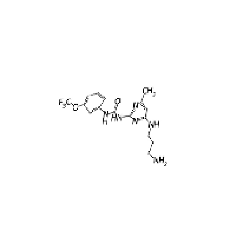 Cc1cc(NCCCN)nc(NC(=O)Nc2cccc(OC(F)(F)F)c2)n1